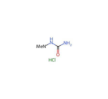 CNNC(N)=O.Cl